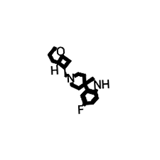 Fc1ccc2c(c1)C1(CCN(C[C@@H]3CC4OCCC[C@@H]43)CC1)CN2